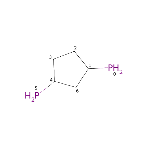 PC1CCC(P)C1